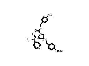 COc1ccc(CS[C@H]2C[C@@H](C(=O)N(C)c3ccncc3)N(C(=O)OCc3ccc([N+](=O)[O-])cc3)C2)cc1